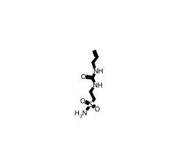 C=CCNC(=O)NCCS(N)(=O)=O